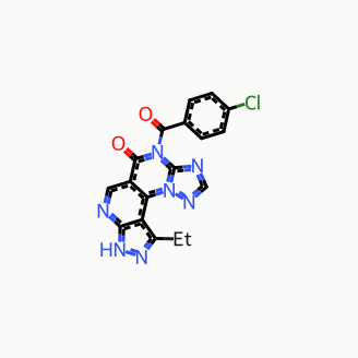 CCc1n[nH]c2ncc3c(=O)n(C(=O)c4ccc(Cl)cc4)c4ncnn4c3c12